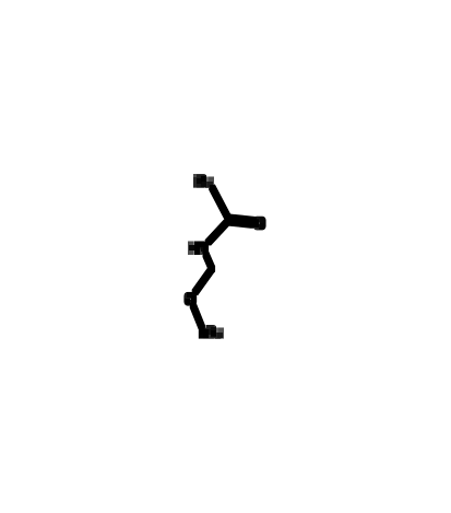 CCCCOCNC(=O)C(C)CC